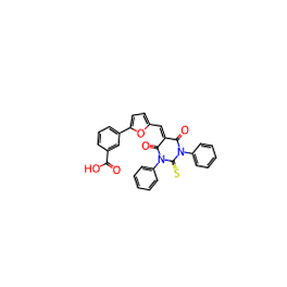 O=C(O)c1cccc(-c2ccc(C=C3C(=O)N(c4ccccc4)C(=S)N(c4ccccc4)C3=O)o2)c1